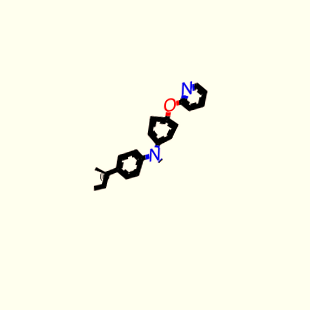 CC[C@@H](C)c1ccc(N(C)c2ccc(Oc3ccccn3)cc2)cc1